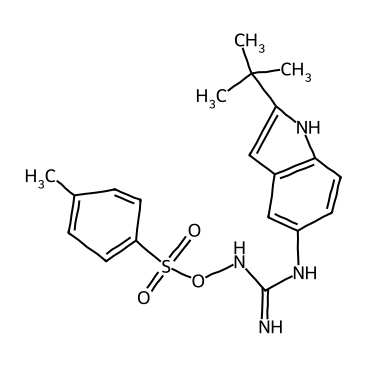 Cc1ccc(S(=O)(=O)ONC(=N)Nc2ccc3[nH]c(C(C)(C)C)cc3c2)cc1